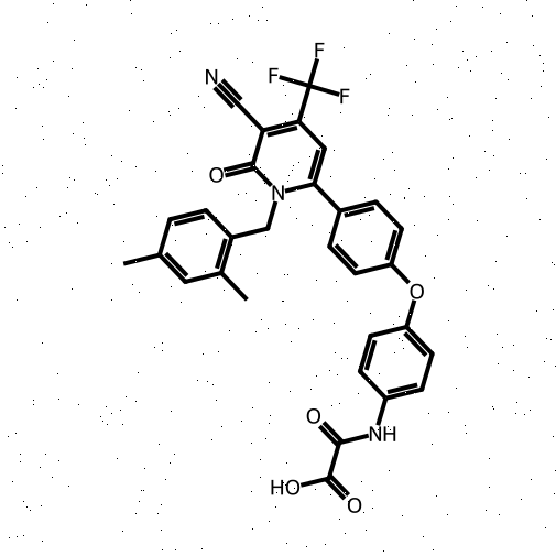 Cc1ccc(Cn2c(-c3ccc(Oc4ccc(NC(=O)C(=O)O)cc4)cc3)cc(C(F)(F)F)c(C#N)c2=O)c(C)c1